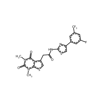 Cn1c(=O)c2c(CC(=O)Nc3nc(-c4cc(F)cc(C(F)(F)F)c4)cs3)csc2n(C)c1=O